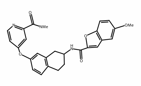 CNC(=O)c1cc(Oc2ccc3c(c2)CC(NC(=O)c2cc4cc(OC)ccc4o2)CC3)ccn1